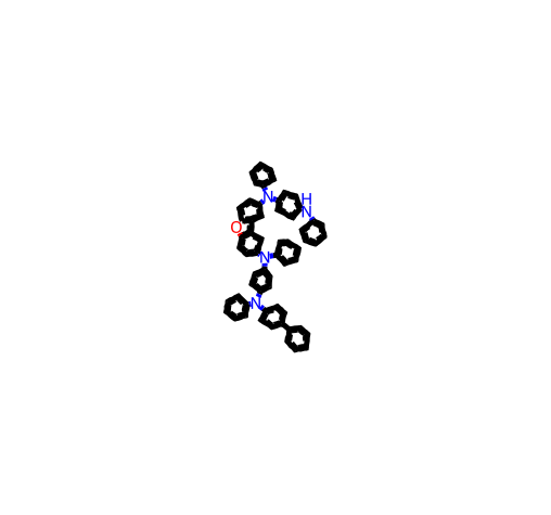 c1ccc(Nc2ccc(N(c3ccccc3)c3ccc4oc5ccc(N(c6ccccc6)c6ccc(N(c7ccccc7)c7ccc(-c8ccccc8)cc7)cc6)cc5c4c3)cc2)cc1